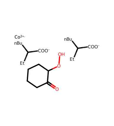 CCCCC(CC)C(=O)[O-].CCCCC(CC)C(=O)[O-].O=C1CCCCC1OO.[Co+2]